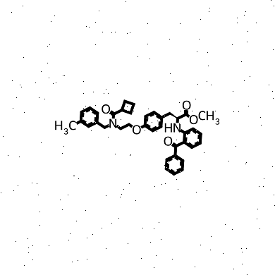 COC(=O)[C@H](Cc1ccc(OCCN(Cc2cccc(C)c2)C(=O)C2CCC2)cc1)Nc1ccccc1C(=O)c1ccccc1